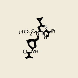 C=C(C)C(=O)Nc1cccc(CN(C(=O)O)c2cc(C3CC3)nc3c(C(C)C)cnn23)c1